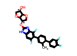 CC1C=C(c2c(F)cc3[nH]c(O[C@@H]4COC5C4OC[C@H]5O)nc3c2F)C=CC1c1ccc(F)c(F)c1